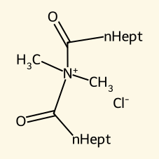 CCCCCCCC(=O)[N+](C)(C)C(=O)CCCCCCC.[Cl-]